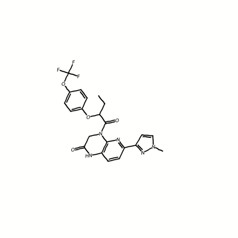 CCC(Oc1ccc(OC(F)(F)F)cc1)C(=O)N1CC(=O)Nc2ccc(-c3ccn(C)n3)nc21